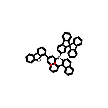 c1ccc(-c2c(N(c3cccc(-c4cccc5c4oc4ccccc45)c3)c3ccc4c(c3)C3(c5ccccc5-c5ccccc53)c3ccccc3-4)ccc3ccccc23)cc1